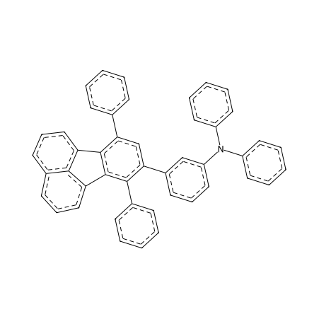 c1ccc(-c2cc(-c3cccc(N(c4ccccc4)c4ccccc4)c3)c(-c3ccccc3)c3c2-c2cccc4cccc-3c24)cc1